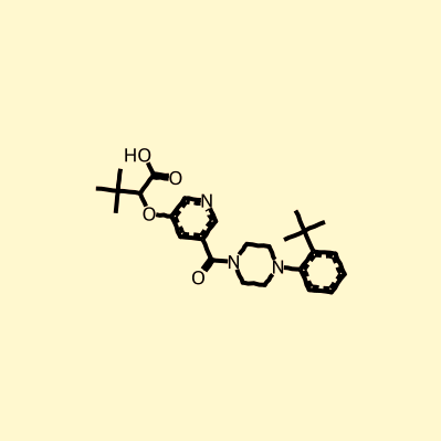 CC(C)(C)c1ccccc1N1CCN(C(=O)c2cncc(OC(C(=O)O)C(C)(C)C)c2)CC1